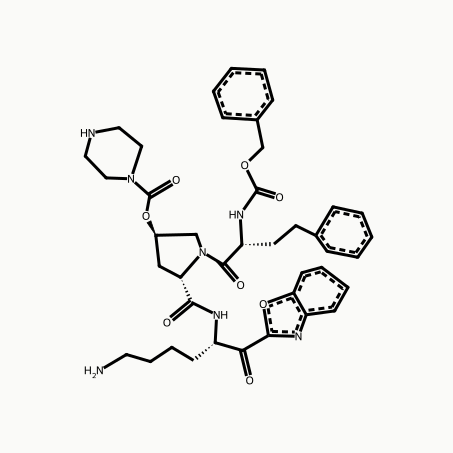 NCCCC[C@H](NC(=O)[C@@H]1C[C@@H](OC(=O)N2CCNCC2)CN1C(=O)[C@@H](CCc1ccccc1)NC(=O)OCc1ccccc1)C(=O)c1nc2ccccc2o1